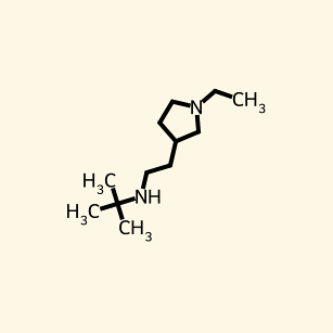 CCN1CCC(CCNC(C)(C)C)C1